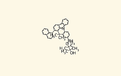 CC1(C)c2cc(BOC(C)(C)C(C)(C)O)ccc2-n2c3ccccc3c3ccc(-c4cccc5ccccc45)c1c32